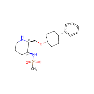 CS(=O)(=O)N[C@H]1CCCN[C@H]1CO[C@H]1CC[C@@H](c2ccccc2)CC1